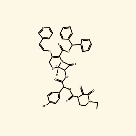 CCN1CCN(C(=O)NC(C(=O)NC2C(=O)N3C(C(=O)OC(c4ccccc4)c4ccccc4)=C(S/C=C\c4cccnc4)CS[C@@H]23)c2ccc(O)cc2)C(=O)C1=O